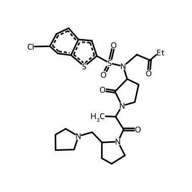 CCC(=O)CN(C1CCN(C(C)C(=O)N2CCCC2CN2CCCC2)C1=O)S(=O)(=O)c1cc2ccc(Cl)cc2s1